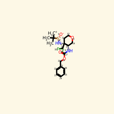 CC(C)(C)[S@@+]([O-])N[C@]1(C(F)F)CCOC[C@@H]1NC(=O)OCc1ccccc1